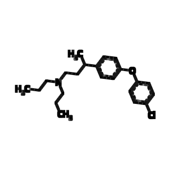 CCCN(CCC)CCC(C)c1ccc(Oc2ccc(Cl)cc2)cc1